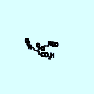 O=C=NCCOC(=O)C(=CC(=O)O)CCN=C=O